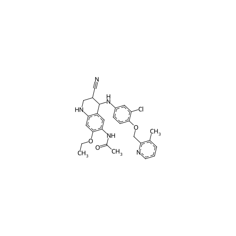 CCOc1cc2c(cc1NC(C)=O)C(Nc1ccc(OCc3ncccc3C)c(Cl)c1)C(C#N)CN2